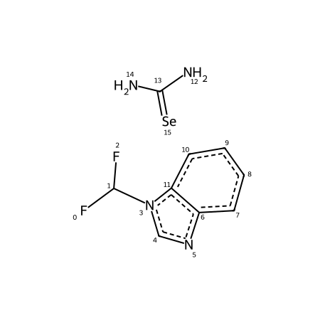 FC(F)n1cnc2ccccc21.NC(N)=[Se]